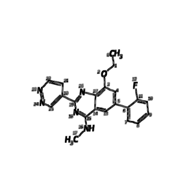 CCOc1cc(-c2ccccc2F)cc2c(NC)nc(-c3ccnnc3)nc12